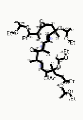 CCOC(C)OC(CC)CCC(C)(OC(C)OCC)C(/C=C/C(C)C(=O)/C(C)=C/C=C/C(C)(CC1OC1C(C)C(CC)OC(C)OCC)OC(C)OCC)OC(C)=O